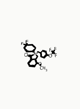 COc1cccc2c1C[N+](Cc1ccc(OC(F)(F)F)cc1)(C1CCC(F)(F)CC1)C2=O